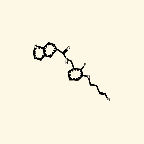 CC/C=C/CCOc1cccc(CNC(=O)c2ccc3ncccc3c2)c1F